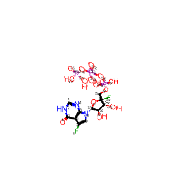 O=c1[nH]cnc2c1c(F)cn2[C@@H]1O[C@](F)(COP(=O)(O)OP(=O)(O)OP(=O)(O)O)[C@@H](O)[C@H]1O